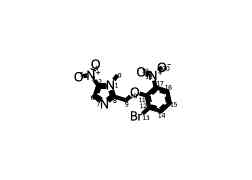 Cn1c([N+](=O)[O-])cnc1COc1c(Br)cccc1[N+](=O)[O-]